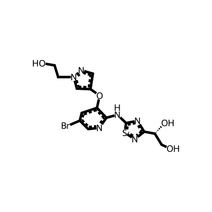 OCCn1cc(Oc2cc(Br)cnc2Nc2nc([C@H](O)CO)ns2)cn1